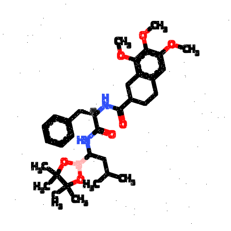 COc1cc2c(c(OC)c1OC)CC(C(=O)N[C@@H](Cc1ccccc1)C(=O)NC(CC(C)C)B1OC(C)(C)C(C)(C)O1)CC2